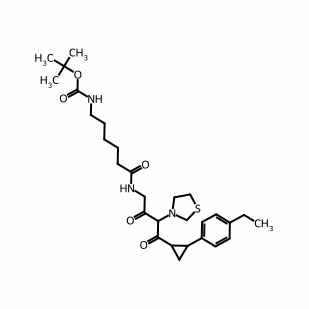 CCc1ccc(C2CC2C(=O)C(C(=O)CNC(=O)CCCCCNC(=O)OC(C)(C)C)N2CCSC2)cc1